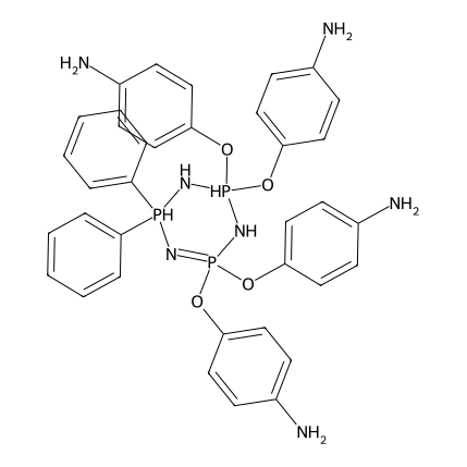 Nc1ccc(OP2(Oc3ccc(N)cc3)=N[PH](c3ccccc3)(c3ccccc3)N[PH](Oc3ccc(N)cc3)(Oc3ccc(N)cc3)N2)cc1